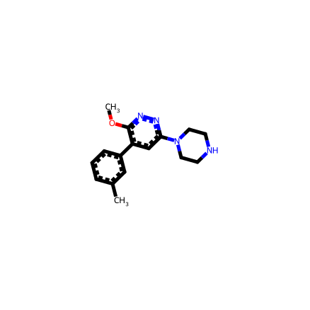 COc1nnc(N2CCNCC2)cc1-c1cccc(C)c1